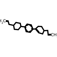 C=CCC1CC=C(c2ccc(C3CCC(CC=C)CC3)cc2)CC1